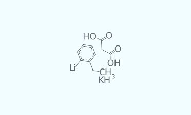 O=C(O)CC(=O)O.[KH].[Li][c]1ccccc1CC